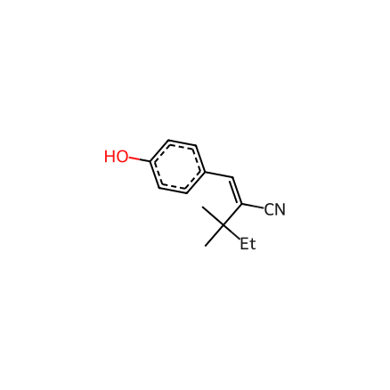 CCC(C)(C)C(C#N)=Cc1ccc(O)cc1